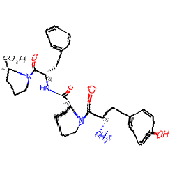 N[C@@H](Cc1ccc(O)cc1)C(=O)N1CCC[C@H]1C(=O)N[C@@H](Cc1ccccc1)C(=O)N1CCC[C@H]1C(=O)O